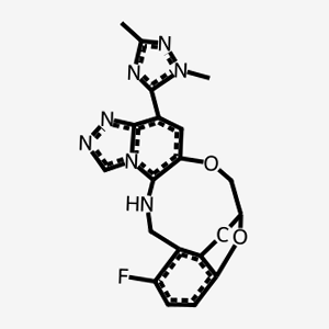 Cc1nc(-c2cc3c(n4cnnc24)NCc2c(F)ccc4c2CC(CO3)O4)n(C)n1